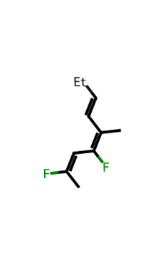 CCC=C/C(C)=C(F)\C=C(/C)F